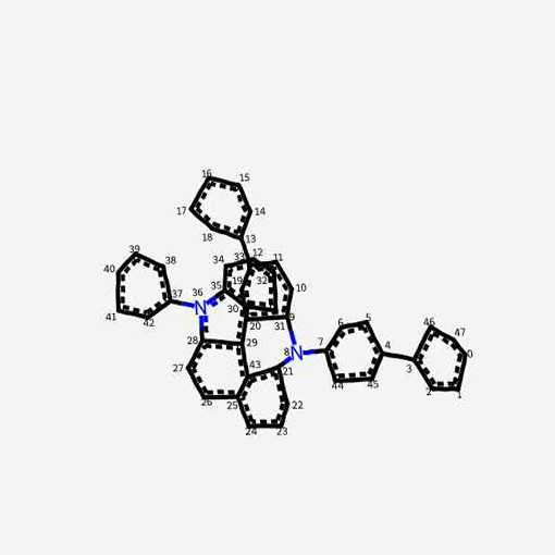 c1ccc(-c2ccc(N(c3ccc(-c4ccccc4)cc3)c3cccc4ccc5c(c6ccccc6n5-c5ccccc5)c34)cc2)cc1